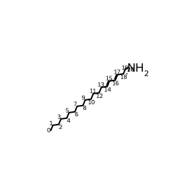 CCCCCCCCCCCCCCC=CC=C[CH]CN